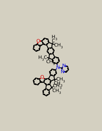 CC1(C)c2cc(N(c3ccc4c(c3)C(C)(C)c3c5c(c6c(oc7ccccc76)c3-4)-c3ccccc3C5(C)C)c3ncccn3)ccc2-c2cc3c(cc21)-c1c(ccc2oc4ccccc4c12)C3(C)C